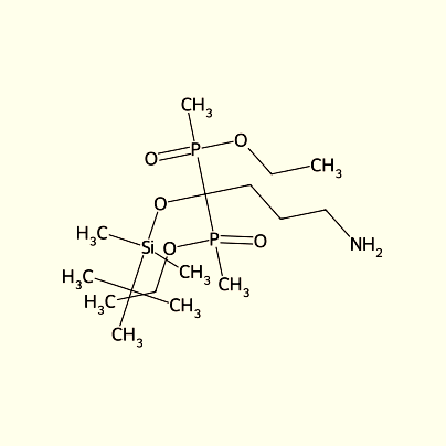 CCOP(C)(=O)C(CCCN)(O[Si](C)(C)C(C)(C)C)P(C)(=O)OCC